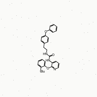 CC(C)(C)c1ccccc1Oc1ncccc1NC(=O)NCCc1ccc(Oc2ccccc2)cc1